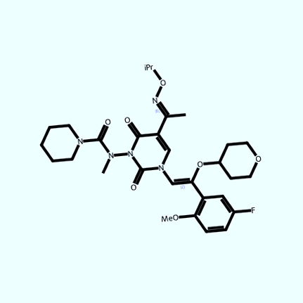 COc1ccc(F)cc1/C(=C/n1cc(/C(C)=N/OC(C)C)c(=O)n(N(C)C(=O)N2CCCCC2)c1=O)OC1CCOCC1